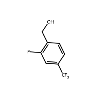 OCc1ccc(C(F)(F)F)cc1F